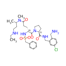 CCNCCC(C)N(C)C(=O)CC[C@@H](NS(=O)(=O)Cc1ccccc1)C(=O)N1CCC[C@H]1C(=O)NCc1cc(Cl)ccc1CN